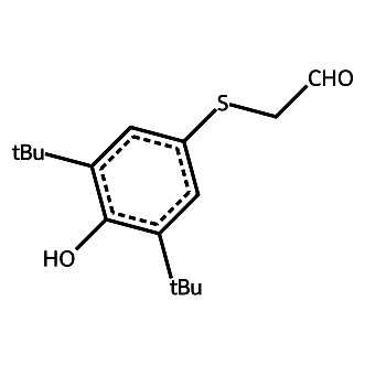 CC(C)(C)c1cc(SCC=O)cc(C(C)(C)C)c1O